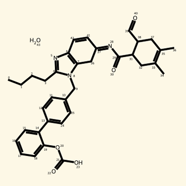 CCCCc1nc2c(n1Cc1ccc(-c3ccccc3OC(=O)O)cc1)CC(=NC(=O)C1CC(C)=C(C)CC1C=O)C=C2.O